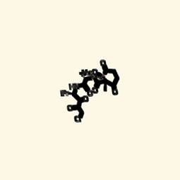 CON1C(=O)CCC(=O)[C@]1(C)C(=O)N[C@@H](C)C(=O)N[C@H](C(=O)C(=O)CCl)C(C)C